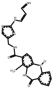 Cc1c(C(=O)NCc2cnc(N/C=C\C=N)s2)ccc2c1NC(=O)c1ccccc1[S+]2[O-]